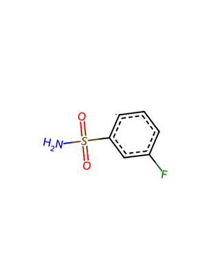 NS(=O)(=O)c1[c]ccc(F)c1